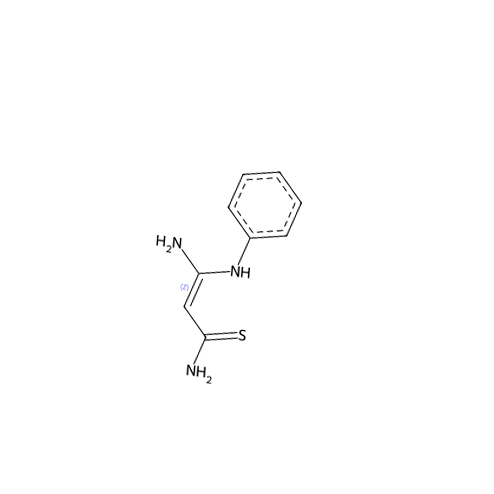 NC(=S)/C=C(/N)Nc1ccccc1